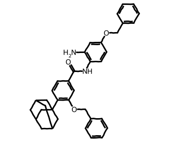 Nc1cc(OCc2ccccc2)ccc1NC(=O)c1ccc(C23CC4CC(CC(C4)C2)C3)c(OCc2ccccc2)c1